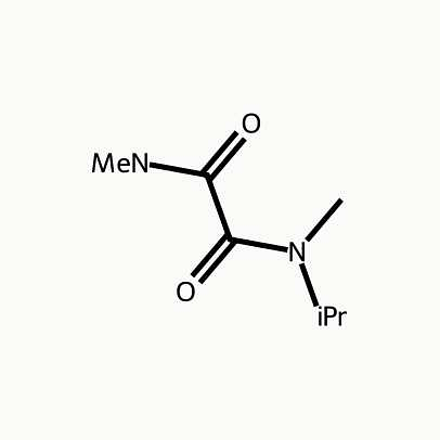 CNC(=O)C(=O)N(C)C(C)C